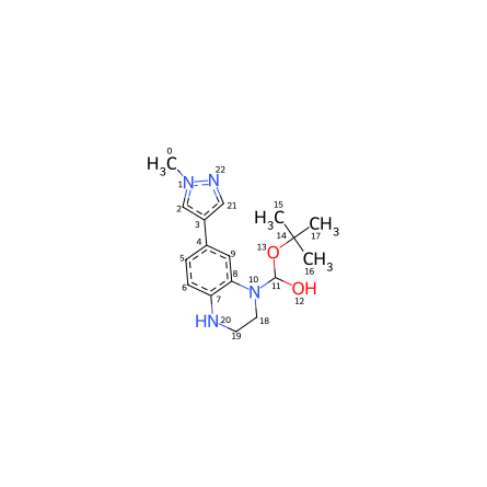 Cn1cc(-c2ccc3c(c2)N(C(O)OC(C)(C)C)CCN3)cn1